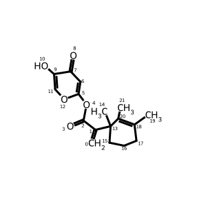 C=C(C(=O)Oc1cc(=O)c(O)co1)C1(C)CCCC(C)=C1C